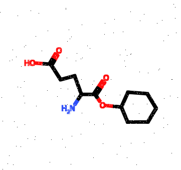 NC(CCC(=O)O)C(=O)OC1CCCCC1